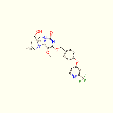 COc1c(OCc2ccc(Oc3ccnc(C(F)(F)F)c3)cc2)nc(=O)n2c1N1C[C@H](C)C[C@]1(CO)C2